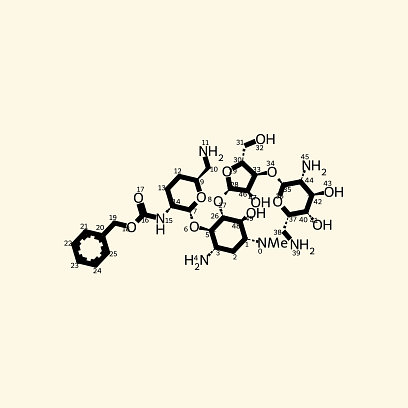 CN[C@@H]1C[C@H](N)[C@@H](O[C@H]2O[C@H](CN)CC[C@H]2NC(=O)OCc2ccccc2)[C@H](O[C@@H]2O[C@H](CO)[C@@H](O[C@H]3O[C@@H](CN)[C@@H](O)[C@H](O)[C@H]3N)[C@H]2O)[C@H]1O